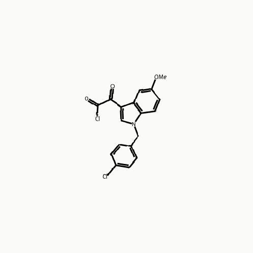 COc1ccc2c(c1)c(C(=O)C(=O)Cl)cn2Cc1ccc(Cl)cc1